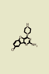 Nc1nc(N2CCNCC2)c2oc3ccc(Cl)cc3c2n1